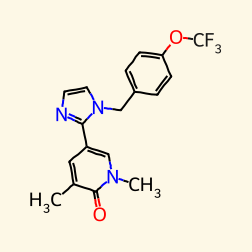 Cc1cc(-c2nccn2Cc2ccc(OC(F)(F)F)cc2)cn(C)c1=O